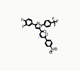 O=C(/C=C\C(=O)c1cc(-c2ccc(F)c(F)c2)nn1-c1ccc(C(F)(F)F)cc1)c1ccc([N+](=O)[O-])cc1